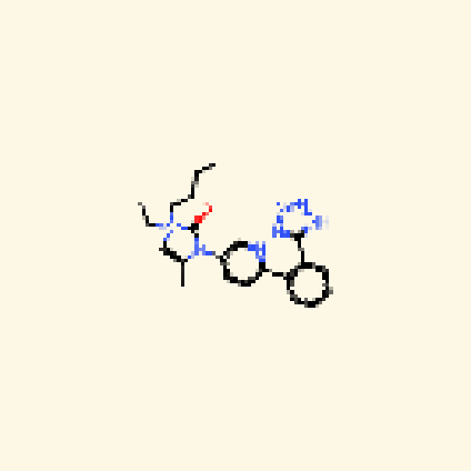 CCCC[N+]1(CC)C=C(C)N(c2ccc(-c3ccccc3-c3nnn[nH]3)nc2)C1=O